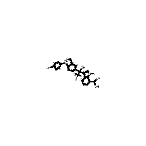 Cn1cc(C(O)(c2ccc3c(cnn3-c3ccc(F)cc3)c2)C(F)(F)F)c2cccc(C(=O)O)c21